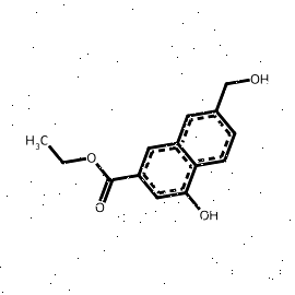 CCOC(=O)c1cc(O)c2ccc(CO)cc2c1